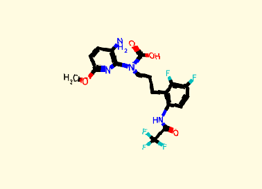 COc1ccc(N)c(N(CCCc2c(NC(=O)C(F)(F)F)ccc(F)c2F)C(=O)O)n1